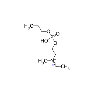 C/C=[N+](/C)CCOP(=O)(O)OCCC